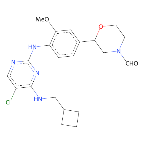 COc1cc(C2CN(C=O)CCO2)ccc1Nc1ncc(Cl)c(NCC2CCC2)n1